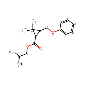 CC(C)COC(=O)C1C(COc2ccccc2)C1(C)C